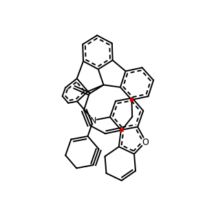 C=C1C#C/C=C\Cc2cccc3c2C12c1c-3cccc1-c1cccc(N(C3=CCCC#C3)c3cccc4oc5c(c34)CCC=C5)c12